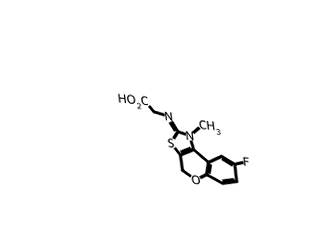 Cn1c2c(s/c1=N\CC(=O)O)COc1ccc(F)cc1-2